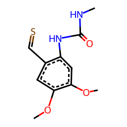 CNC(=O)Nc1cc(OC)c(OC)cc1C=S